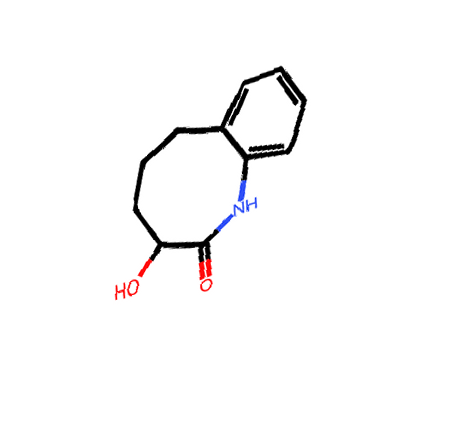 O=C1Nc2ccccc2CCCC1O